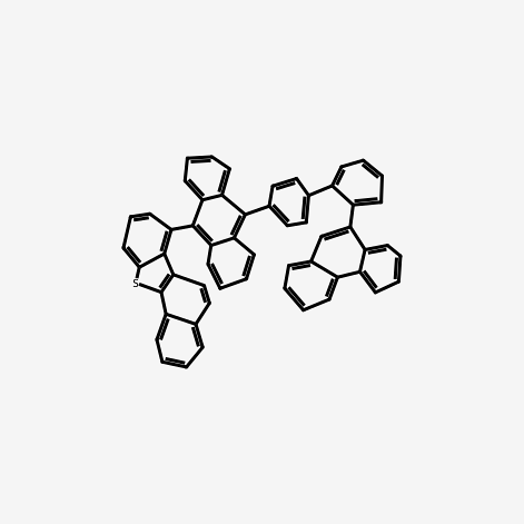 c1ccc(-c2cc3ccccc3c3ccccc23)c(-c2ccc(-c3c4ccccc4c(-c4cccc5sc6c7ccccc7ccc6c45)c4ccccc34)cc2)c1